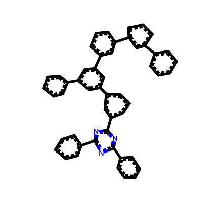 c1ccc(-c2cccc(-c3cccc(-c4cc(-c5ccccc5)cc(-c5cccc(-c6nc(-c7ccccc7)nc(-c7ccccc7)n6)c5)c4)c3)c2)cc1